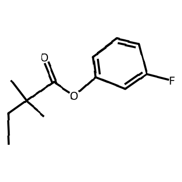 CCC(C)(C)C(=O)Oc1cccc(F)c1